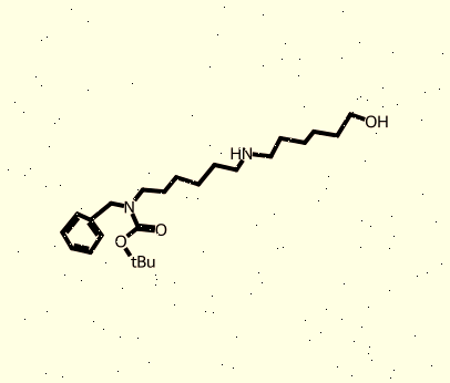 CC(C)(C)OC(=O)N(CCCCCCNCCCCCCO)Cc1ccccc1